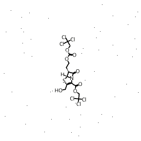 O=C(OCC[C@H]1C(=O)N2C(C(=O)OCC(Cl)(Cl)Cl)=C(CO)S[C@H]12)OCC(Cl)(Cl)Cl